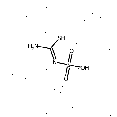 NC(S)=NS(=O)(=O)O